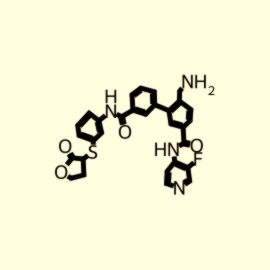 NCc1ccc(C(=O)Nc2ccncc2F)cc1-c1cccc(C(=O)Nc2cccc(SC3CCOC3=O)c2)c1